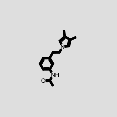 CC(=O)Nc1cccc(CCn2cc(C)c(C)c2)c1